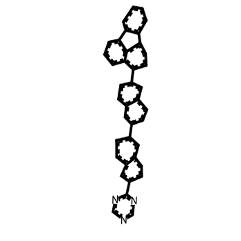 c1ccc2c(c1)-c1cccc3c(-c4ccc5cc(-c6ccc7cc(-c8ncncn8)ccc7c6)ccc5c4)ccc-2c13